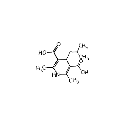 CC1=C(C(=O)O)C(CC(C)C)C(C(=O)O)=C(C)N1